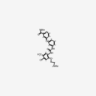 CNCCOc1cc(Cl)c(C)cc1NC(=O)Nc1cccc(Oc2ccnc(C(=O)NC)c2)c1